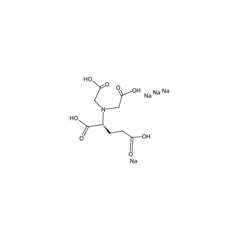 O=C(O)CC[C@@H](C(=O)O)N(CC(=O)O)CC(=O)O.[Na].[Na].[Na].[Na]